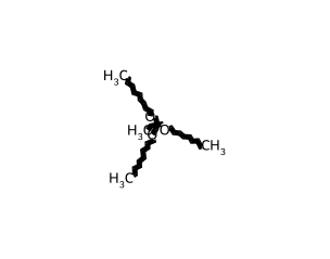 CCCCCCCCCCOCC(CC)(COCCCCCCCCC)COCCCCCCCCCC